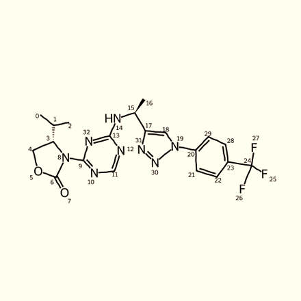 CC(C)[C@H]1COC(=O)N1c1ncnc(N[C@@H](C)c2cn(-c3ccc(C(F)(F)F)cc3)nn2)n1